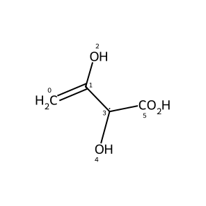 C=C(O)[C](O)C(=O)O